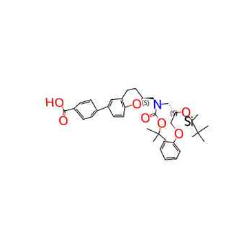 CC(C)(C)OC(=O)N(C[C@@H]1CCc2cc(-c3ccc(C(=O)O)cc3)ccc2O1)C[C@@H](COc1ccccc1)O[Si](C)(C)C(C)(C)C